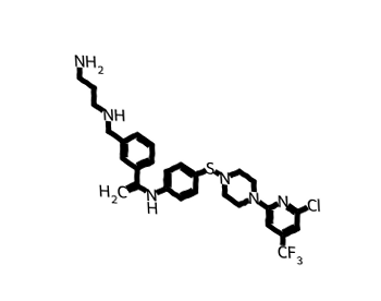 C=C(Nc1ccc(SN2CCN(c3cc(C(F)(F)F)cc(Cl)n3)CC2)cc1)c1cccc(CNCCCN)c1